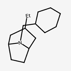 CCC1CC2CCC(C1)N2CC1CCCCC1